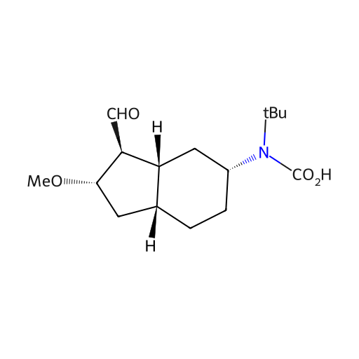 CO[C@H]1C[C@H]2CC[C@@H](N(C(=O)O)C(C)(C)C)C[C@H]2[C@@H]1C=O